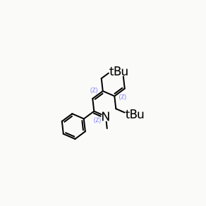 C\C=C(CC(C)(C)C)/C(=C\C(=N\C)c1ccccc1)CC(C)(C)C